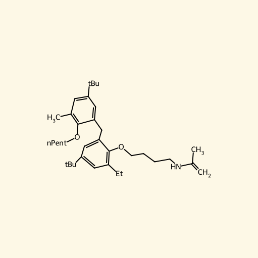 C=C(C)NCCCCOc1c(CC)cc(C(C)(C)C)cc1Cc1cc(C(C)(C)C)cc(C)c1OCCCCC